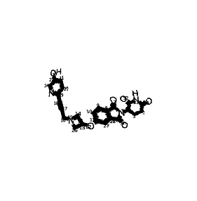 O=C1CCC(N2C(=O)c3ccc(OC4CN(CC#Cc5ccc(O)cn5)C4)cc3C2=O)C(=O)N1